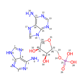 Nc1ncnc2[nH]cnc12.Nc1ncnc2c1ncn2[C@@H]1O[C@H](COP(=O)(O)O)[C@@H](O)[C@H]1O